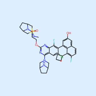 CN=S1(=O)CC2CCC(C1)N2CCCOc1nc(N2CC3CCC(C2)N3)c2cc(Cl)c(-c3cc(O)cc4ccc(F)c(C56CC(C5)C6)c34)c(F)c2n1